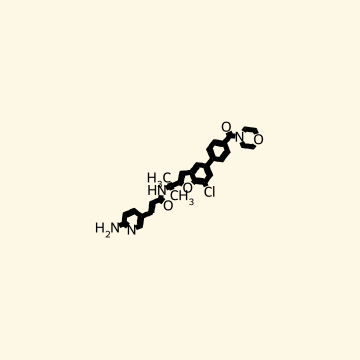 CC(C)(NC(=O)/C=C/c1ccc(N)nc1)c1cc2cc(-c3ccc(C(=O)N4CCOCC4)cc3)cc(Cl)c2o1